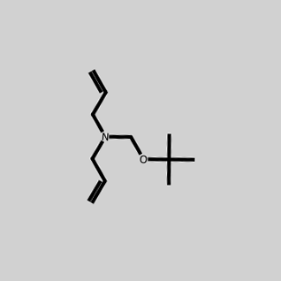 C=CCN(CC=C)COC(C)(C)C